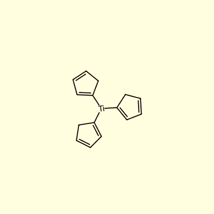 C1=CC[C]([Ti]([C]2=CC=CC2)[C]2=CC=CC2)=C1